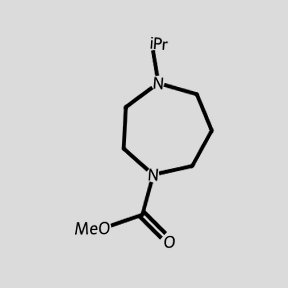 COC(=O)N1CCCN(C(C)C)CC1